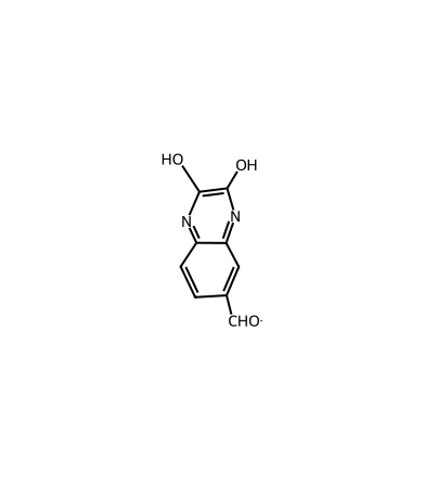 O=[C]c1ccc2nc(O)c(O)nc2c1